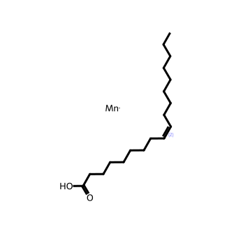 CCCCCCCC/C=C\CCCCCCCC(=O)O.[Mn]